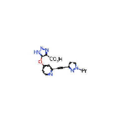 CC(C)n1ccc(C#Cc2cc(Oc3[nH]nnc3C(=O)O)ccn2)n1